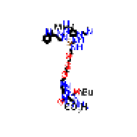 CCCCOc1nc(N)c2c(n1)n(Cc1cn(CCOCCOCCOCCNC(=S)Nc3cc(Nc4nccc(-c5cn(C)c6ccccc56)n4)c(OC)cc3N(C)CCN(C)C)nn1)c(=O)n2C(=O)O